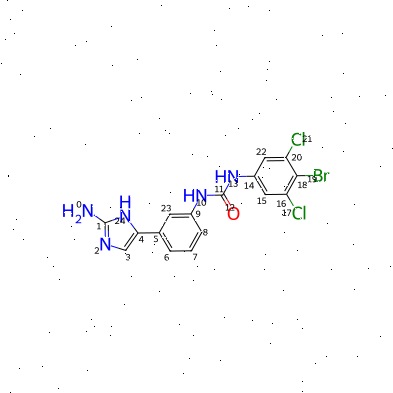 Nc1ncc(-c2cccc(NC(=O)Nc3cc(Cl)c(Br)c(Cl)c3)c2)[nH]1